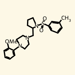 COc1ccccc1N1CCN(CC2CCCN2S(=O)(=O)c2cccc(C)c2)CC1